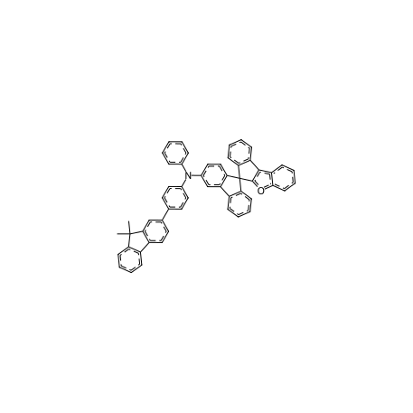 CC1(C)c2ccccc2-c2ccc(-c3ccc(N(c4ccccc4)c4ccc5c(c4)-c4ccccc4C54c5ccccc5-c5c4oc4ccccc54)cc3)cc21